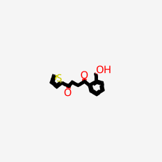 O=C(CCC(=O)c1ccccc1CO)c1cccs1